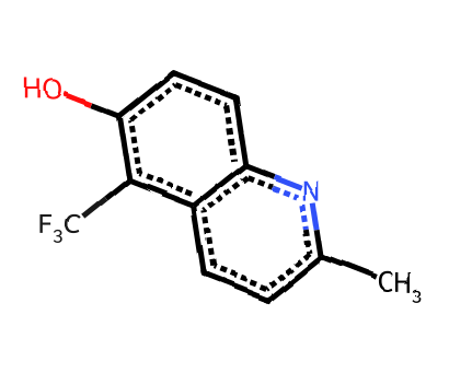 Cc1ccc2c(C(F)(F)F)c(O)ccc2n1